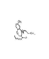 CCCN1c2cc(O)ccc2OC1C(=O)O